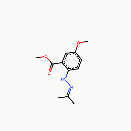 COC(=O)c1cc(OC)ccc1NN=C(C)C